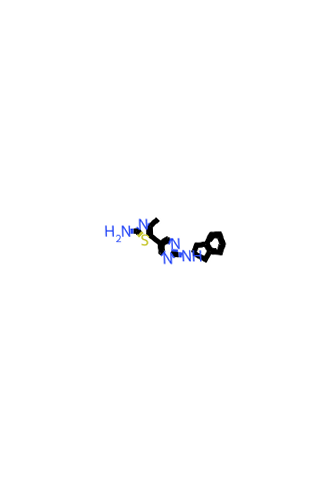 Cc1nc(N)sc1-c1cnc(NC2Cc3ccccc3C2)nc1